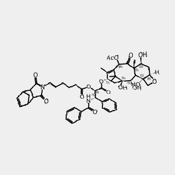 CC(=O)O[C@H]1C(=O)[C@@]2(C)C([C@H](O)[C@]3(O)C[C@H](OC(=O)[C@H](OC(=O)CCCCCN4C(=O)C5C6C=CC(C6)C5C4=O)[C@@H](NC(=O)c4ccccc4)c4ccccc4)C(C)=C1C3(C)C)[C@]1(O)CO[C@@H]1C[C@@H]2O